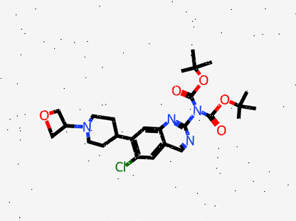 CC(C)(C)OC(=O)N(C(=O)OC(C)(C)C)c1ncc2cc(Cl)c(C3CCN(C4COC4)CC3)cc2n1